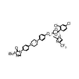 CCC(C)n1ncn(-c2ccc(N3CCN(c4ccc(OC[C@@H]5CO[C@@](Cn6cc(C(F)(F)F)nc6C)(c6ccc(Cl)cc6Cl)O5)cc4)CC3)cc2)c1=O